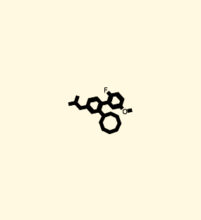 COc1ccc(F)c(-c2ccc(CC(C)C)cc2C2CCCCCCC2)c1